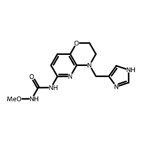 CONC(=O)Nc1ccc2c(n1)N(Cc1c[nH]cn1)CCO2